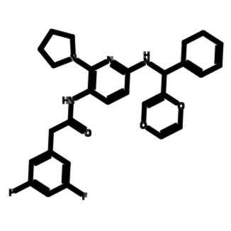 O=C(Cc1cc(F)cc(F)c1)Nc1ccc(NC(C2=CC=CCC2)C2=COC=CO2)nc1N1CCCC1